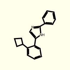 [c]1ccc(C2CCC2)c(-c2cnc(-c3ccccc3)[nH]2)c1